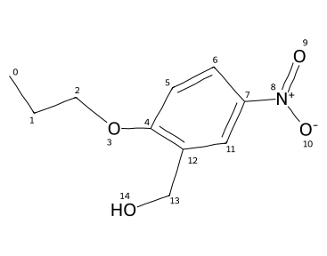 CCCOc1ccc([N+](=O)[O-])cc1CO